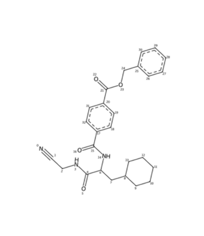 N#CCNC(=O)C(CC1CCCCC1)NC(=O)c1ccc(C(=O)OCc2ccccc2)cc1